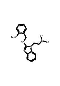 CCN(CC)CCn1c(NCc2ccccc2OC)nc2ccccc21